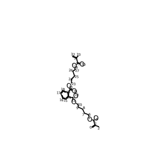 C=C(C)C(=O)OCCCCCOC(=O)c1ccccc1C(=O)OCCCCCOC(=O)C(=C)C